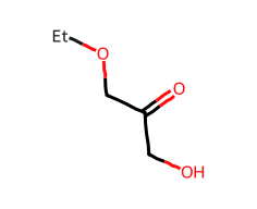 CCOCC(=O)CO